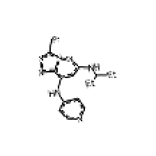 CCC(CC)Nc1cc(Nc2ccncc2)c2nnc(C(C)C)n2n1